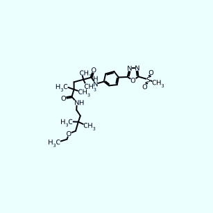 CCOCC(C)(C)CCNC(=O)C(C)(C)CC(C)(C)C(=O)Nc1ccc(-c2nnc(S(C)(=O)=O)o2)cc1